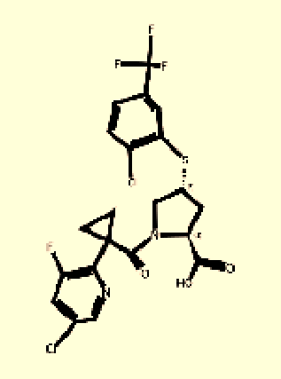 O=C(O)[C@@H]1C[C@@H](Sc2cc(C(F)(F)F)ccc2Cl)CN1C(=O)C1(c2ncc(Cl)cc2F)CC1